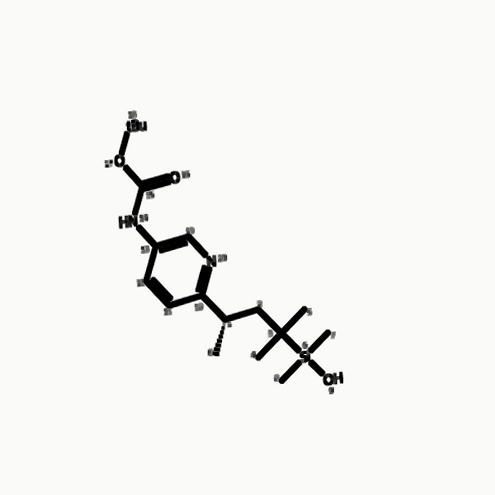 C[C@@H](CC(C)(C)[Si](C)(C)O)c1ccc(NC(=O)OC(C)(C)C)cn1